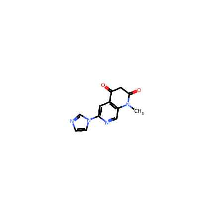 CN1C(=O)CC(=O)c2cc(-n3ccnc3)ncc21